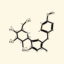 CCOc1ccc(Cc2cc(C3SC(CO)C(O)C(O)C3C)c(OC)cc2C)cc1